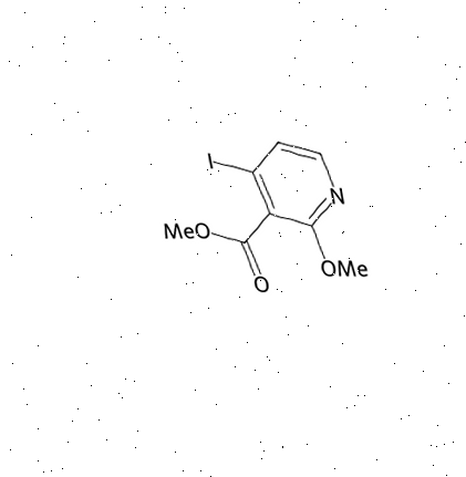 COC(=O)c1c(I)ccnc1OC